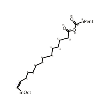 CCCCCCCC/C=C\CCCCCCCCCCCC(=O)OC(=O)CCCCC